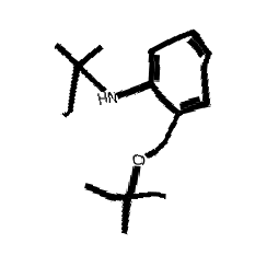 CC(C)(C)Nc1ccccc1COC(C)(C)C